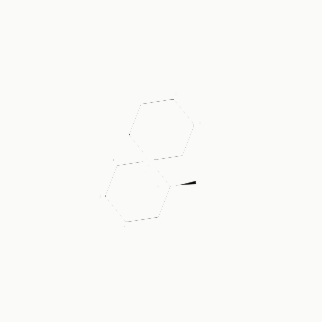 C[C@H]1CCCC[Si]12CCCCC2